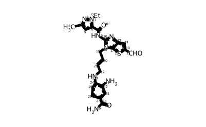 CCn1nc(C)cc1C(=O)Nc1nc2cc(C=O)sc2n1C/C=C/CNc1ccc(C(N)=O)cc1N